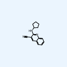 N#Cc1cc2ccccc2nc1NC1CCCC1